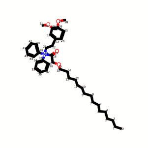 CCCCCCCCCCCCCCCCOCC(=O)[N+](CCc1ccc(OC)c(OC)c1)(c1ccccc1)c1ccccc1